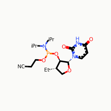 CC[C@H]1CO[C@@H](n2ccc(=O)[nH]c2=O)[C@@H]1OP(OCCC#N)N(C(C)C)C(C)C